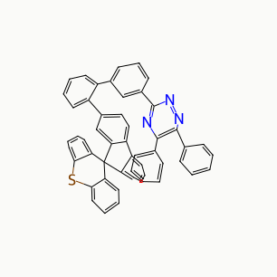 c1ccc(-c2nnc(-c3cccc(-c4ccccc4-c4ccc5c(c4)C4(c6ccccc6Sc6ccccc64)c4ccccc4-5)c3)nc2-c2ccccc2)cc1